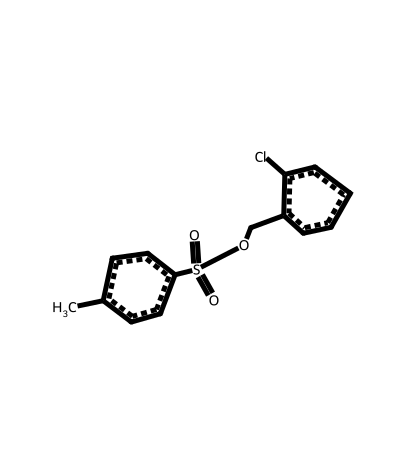 Cc1ccc(S(=O)(=O)OCc2ccccc2Cl)cc1